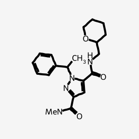 CNC(=O)c1cc(C(=O)NCC2CCCCO2)n(C(C)c2ccccc2)n1